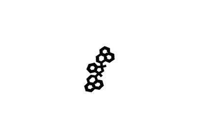 CC1(C2C=Cc3cccc4cccc2c34)CC(C)(C2C=Cc3cccc4cccc2c34)c2ccccc21